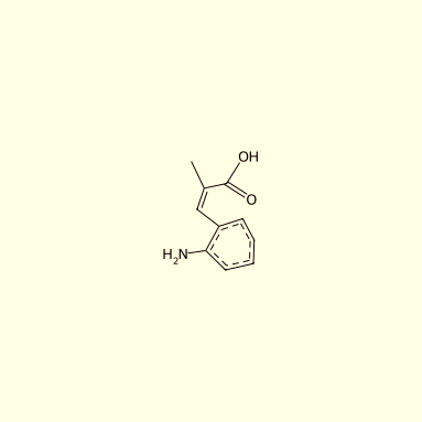 CC(=Cc1ccccc1N)C(=O)O